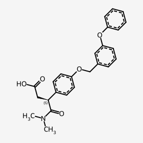 CN(C)C(=O)[C@@H](CC(=O)O)c1ccc(OCc2cccc(Oc3ccccc3)c2)cc1